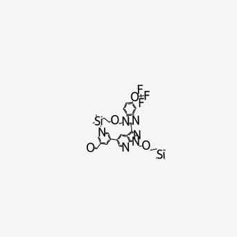 C[Si](C)(C)CCOCn1nc(-c2nc3cc(OC(F)(F)F)ccc3n2COCC[Si](C)(C)C)c2cc(-c3cncc(C=O)c3)cnc21